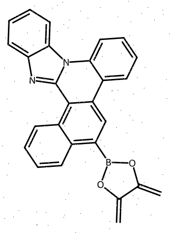 C=C1OB(c2cc3c4ccccc4n4c5ccccc5nc4c3c3ccccc23)OC1=C